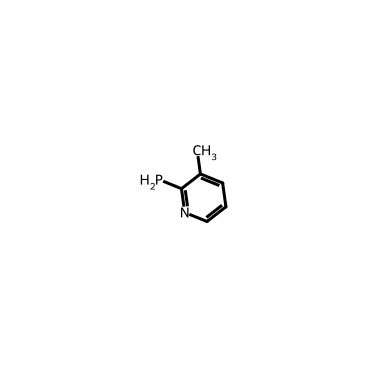 Cc1cccnc1P